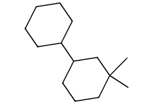 CC1(C)CCCC(C2CCCCC2)C1